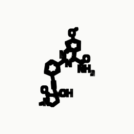 COc1ccc2c(C(N)=O)nc(-c3cccc(C#C[C@]4(O)CCN(C)C4=O)c3)nc2c1